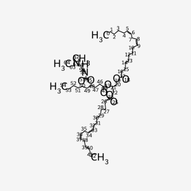 CCCCC/C=C\C/C=C\CCCCCCCC(=O)OCC(COC(=O)CCCCCCC/C=C\C/C=C\CCCCC)OC(=O)CCC(CCCCCC)OC(=O)NCCN(C)CC